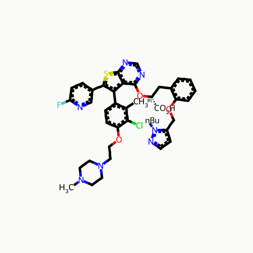 CCCCn1nccc1COc1ccccc1C[C@@H](Oc1ncnc2sc(-c3ccc(F)nc3)c(-c3ccc(OCCN4CCN(C)CC4)c(Cl)c3C)c12)C(=O)O